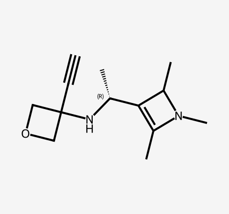 C#CC1(N[C@H](C)C2=C(C)N(C)C2C)COC1